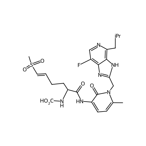 Cc1ccc(NC(=O)C(CCC=CS(C)(=O)=O)NC(=O)O)c(=O)n1Cc1nc2c(F)cnc(CC(C)C)c2[nH]1